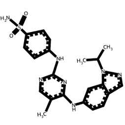 Cc1cnc(Nc2ccc(S(N)(=O)=O)cc2)nc1Nc1ccc2cnn(C(C)C)c2c1